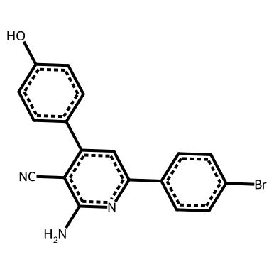 N#Cc1c(-c2ccc(O)cc2)cc(-c2ccc(Br)cc2)nc1N